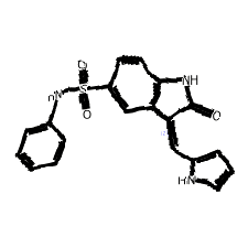 O=C1Nc2ccc(S(=O)(=O)Nc3ccccc3)cc2/C1=C/c1ccc[nH]1